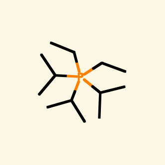 CCP(CC)(C(C)C)(C(C)C)C(C)C